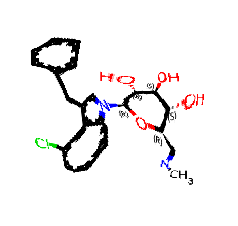 CN=C[C@H]1O[C@@H](n2cc(Cc3ccccc3)c3c(Cl)cccc32)[C@H](O)[C@@H](O)[C@@H]1O